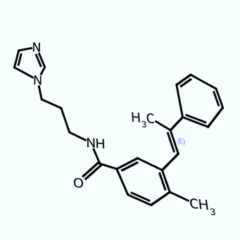 C/C(=C\c1cc(C(=O)NCCCn2ccnc2)ccc1C)c1ccccc1